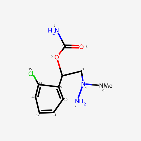 CNN(N)CC(OC(N)=O)c1ccccc1Cl